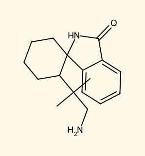 CC(C)(CN)C1CCCCC12NC(=O)c1ccccc12